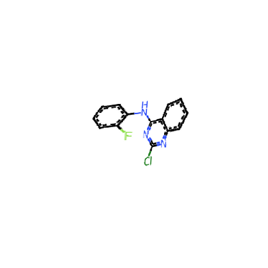 Fc1ccccc1Nc1nc(Cl)nc2ccccc12